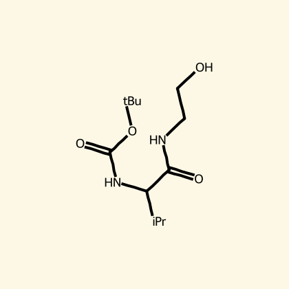 CC(C)C(NC(=O)OC(C)(C)C)C(=O)NCCO